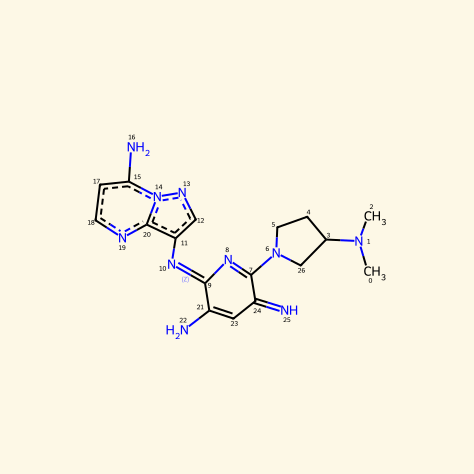 CN(C)C1CCN(C2=N/C(=N\c3cnn4c(N)ccnc34)C(N)=CC2=N)C1